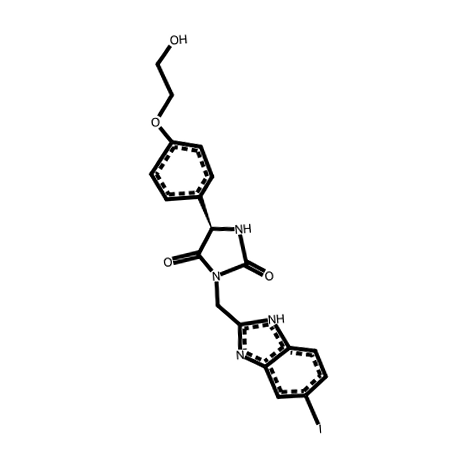 O=C1N[C@H](c2ccc(OCCO)cc2)C(=O)N1Cc1nc2cc(I)ccc2[nH]1